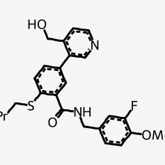 COc1ccc(CNC(=O)c2cc(-c3cnccc3CO)ccc2SCC(C)C)cc1F